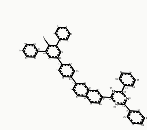 Ic1c(-c2ccccc2)cc(-c2ccc(-c3ccc4ccc(-c5nc(-c6ccccc6)nc(-c6ccccc6)n5)cc4c3)cc2)cc1-c1ccccc1